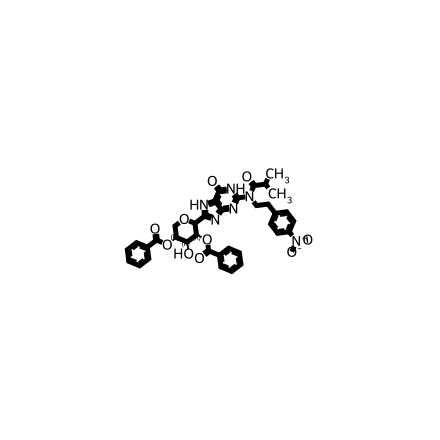 CC(C)C(=O)N(CCc1ccc([N+](=O)[O-])cc1)c1nc2nc(C3OC[C@@H](OC(=O)c4ccccc4)[C@@H](O)[C@H]3OC(=O)c3ccccc3)[nH]c2c(=O)[nH]1